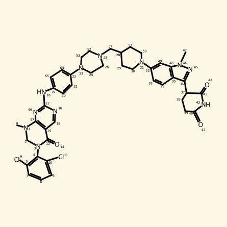 CN1CN(c2c(Cl)cccc2Cl)C(=O)c2cnc(Nc3ccc(N4CCN(CC5CCN(c6ccc7c(C8CCC(=O)NC8=O)nn(C)c7c6)CC5)CC4)cc3)nc21